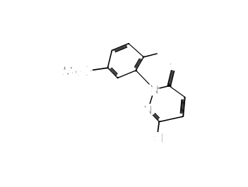 COc1ccc(C)c(-n2nc(Cl)ccc2=O)c1